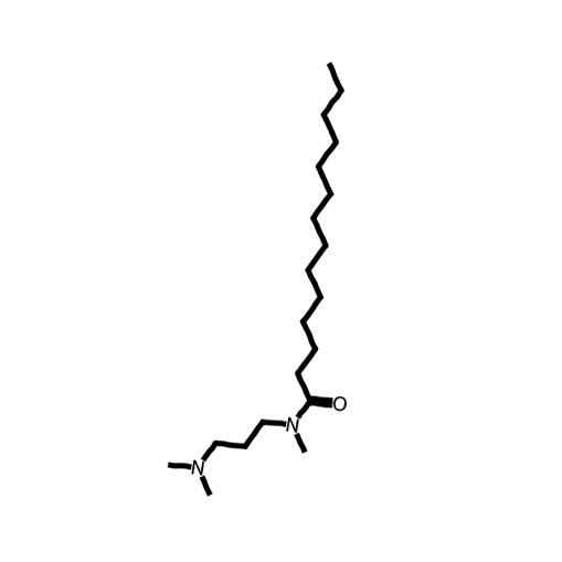 CCCCCCCCCCCCCC(=O)N(C)CCCN(C)C